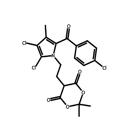 Cc1c(Cl)c(Cl)n(CCC2C(=O)OC(C)(C)OC2=O)c1C(=O)c1ccc(Cl)cc1